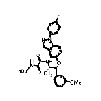 COc1cccc([C@@H](Oc2ccc3c(cnn3-c3ccc(F)cc3)c2)[C@H](C)NC(=O)C(=O)NC(C)(C)C)c1